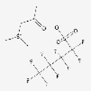 CC(=O)C[S+](C)C.O=S(=O)([O-])C(F)(F)C(F)(F)C(F)(F)C(F)(F)F